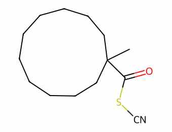 CC1(C(=O)SC#N)CCCCCCCCCC1